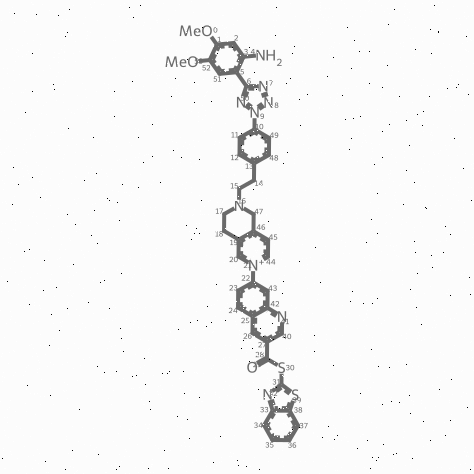 COc1cc(N)c(-c2nnn(-c3ccc(CCN4CCc5c[n+](-c6ccc7cc(C(=O)Sc8nc9ccccc9s8)cnc7c6)ccc5C4)cc3)n2)cc1OC